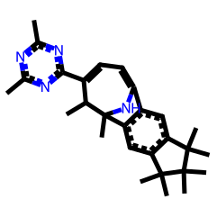 Cc1nc(C)nc(C2=CC=C3NC(C)(c4cc5c(cc43)C(C)(C)C(C)(C)C5(C)C)C2C)n1